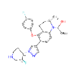 COC(O)N1c2ccc(-c3cnn([C@H]4CCNC[C@@H]4F)c3)c(Oc3ccc(F)cc3)c2CC[C@@H]1C